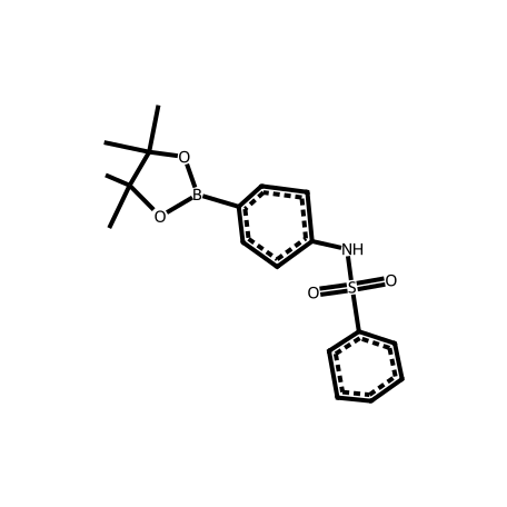 CC1(C)OB(c2ccc(NS(=O)(=O)c3ccccc3)cc2)OC1(C)C